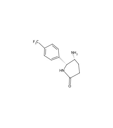 N[C@@H]1CCC(=O)N[C@@H]1c1ccc(C(F)(F)F)cc1